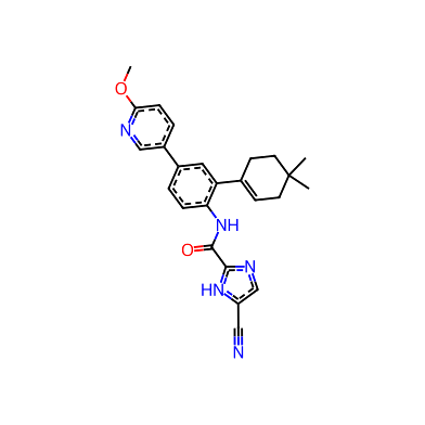 COc1ccc(-c2ccc(NC(=O)c3ncc(C#N)[nH]3)c(C3=CCC(C)(C)CC3)c2)cn1